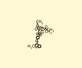 C=CCONC(=O)C(CNS(=O)(=O)c1ccc(OCc2cc(C)nc3ccccc23)cc1)N1CCN(C(=O)C(C)C)CC1